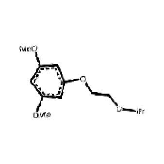 COc1cc(OC)cc(OCCOC(C)C)c1